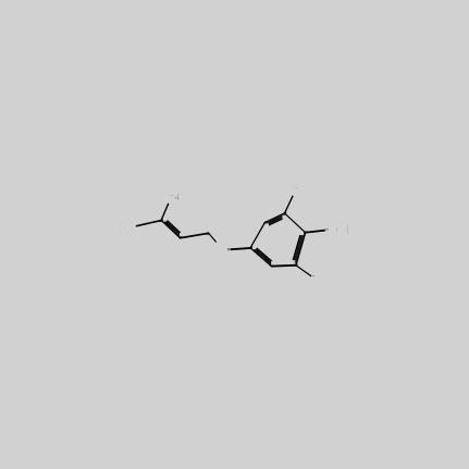 CCc1cc(OCC=C(Br)Br)cc(Br)c1O